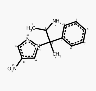 CC(N)C(C)(c1ccccc1)n1cc([N+](=O)[O-])cn1